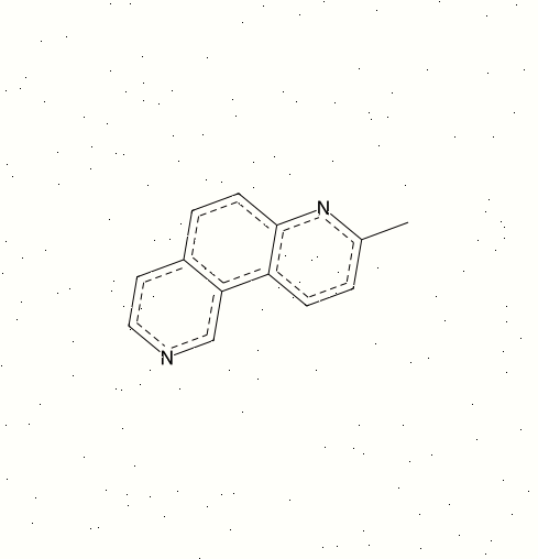 Cc1ccc2c(ccc3ccncc32)n1